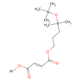 CC(C)OC(=O)C=CC(=O)OCCC[Si](C)(C)O[Si](C)(C)C